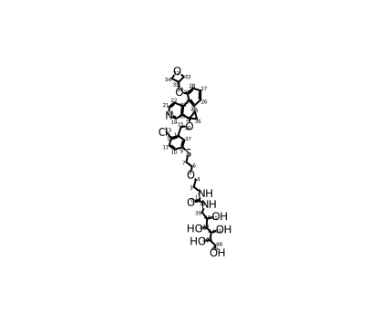 O=C(NCCOCCSc1ccc(Cl)c(COC2(c3cnccc3-c3ccccc3OC3COC3)CC2)c1)NCC(O)C(O)C(O)C(O)CO